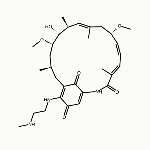 CNCCNC1=C2C[C@@H](C)C[C@H](OC)[C@H](O)[C@@H](C)/C=C(\C)[CH][C@H](OC)/C=C\C=C(/C)C(=O)NC(=CC1=O)C2=O